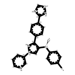 [O-][S@+](c1ccc(I)cc1)c1cn(-c2cccnc2)nc1-c1ccc(-c2ncon2)cc1